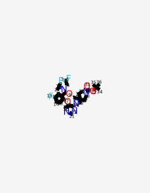 CC(C)N(CC(F)F)C(=O)c1cc(F)ccc1Oc1cncnc1N1CC2(CCN(C(=O)OC(C)(C)C)CC2)C1